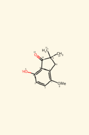 COc1ccc(O)c2c1CC(C)(C)C2=O